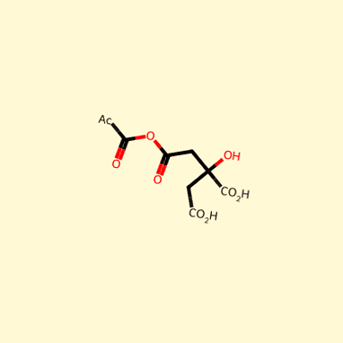 CC(=O)C(=O)OC(=O)CC(O)(CC(=O)O)C(=O)O